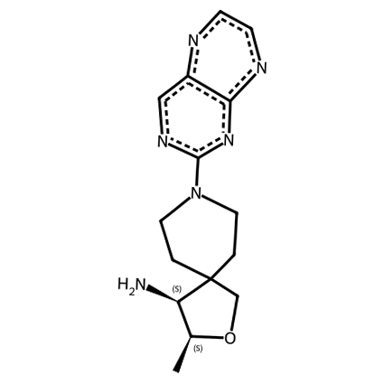 C[C@@H]1OCC2(CCN(c3ncc4nccnc4n3)CC2)[C@@H]1N